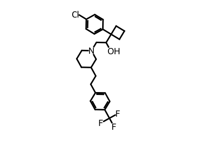 OC(CN1CCCC(CCc2ccc(C(F)(F)F)cc2)C1)C1(c2ccc(Cl)cc2)CCC1